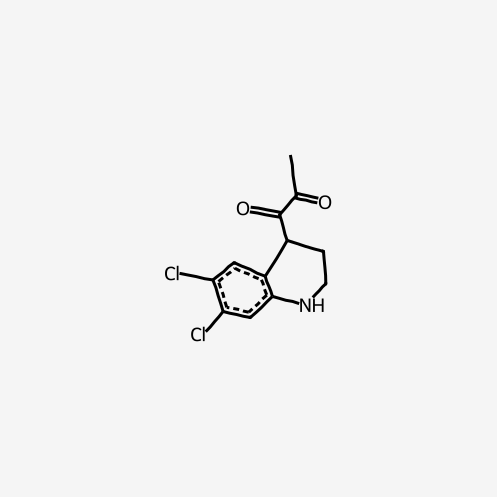 CC(=O)C(=O)C1CCNc2cc(Cl)c(Cl)cc21